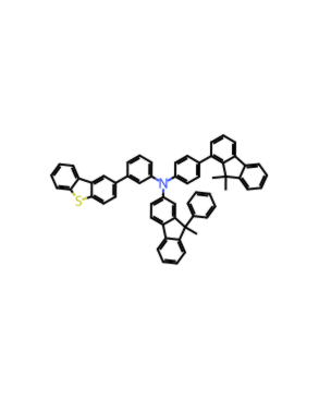 CC1(C)c2ccccc2-c2cccc(-c3ccc(N(c4cccc(-c5ccc6sc7ccccc7c6c5)c4)c4ccc5c(c4)C(C)(c4ccccc4)c4ccccc4-5)cc3)c21